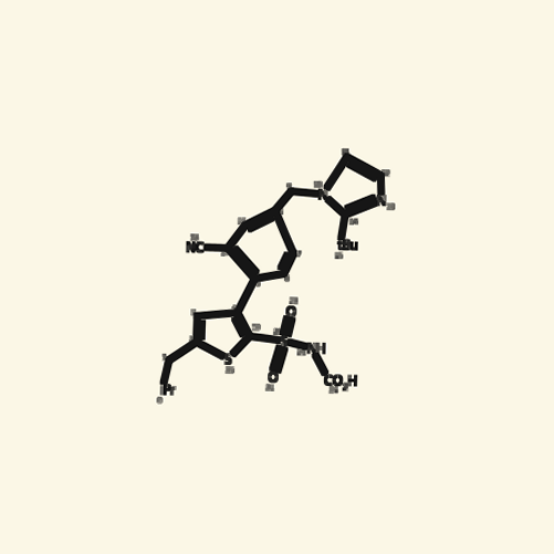 CC(C)Cc1cc(-c2ccc(Cn3ccnc3C(C)(C)C)cc2C#N)c(S(=O)(=O)NC(=O)O)s1